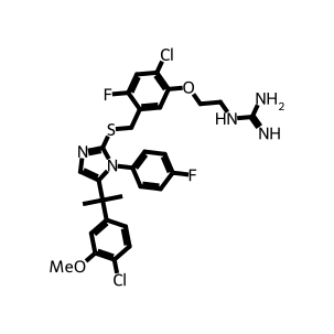 COc1cc(C(C)(C)c2cnc(SCc3cc(OCCNC(=N)N)c(Cl)cc3F)n2-c2ccc(F)cc2)ccc1Cl